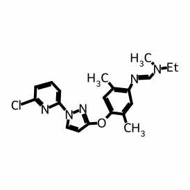 CCN(C)/C=N/c1cc(C)c(Oc2ccn(-c3cccc(Cl)n3)n2)cc1C